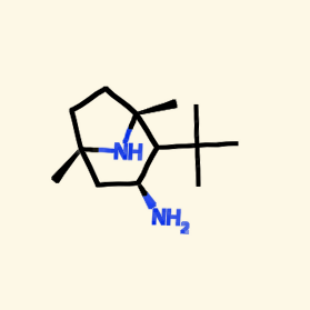 CC(C)(C)C1[C@@H](N)C[C@]2(C)CC[C@@]1(C)N2